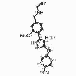 COc1cc(CNCC(C)C)ccc1-c1cc(Nc2cnc(C#N)cn2)n[nH]1.Cl